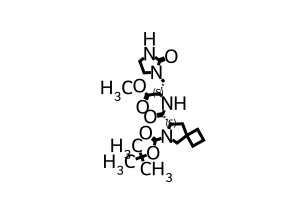 COC(=O)[C@H](CN1CCNC1=O)NC(=O)[C@@H]1CC2(CCC2)CN1C(=O)OC(C)(C)C